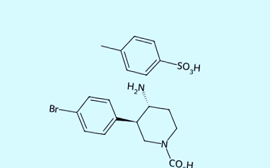 Cc1ccc(S(=O)(=O)O)cc1.N[C@@H]1CCN(C(=O)O)C[C@H]1c1ccc(Br)cc1